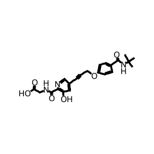 CC(C)(C)NC(=O)c1ccc(OCC#Cc2cnc(C(=O)NCC(=O)O)c(O)c2)cc1